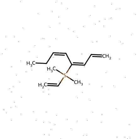 C=C/C=C(\C=C/CC)S(C)(C)C=C